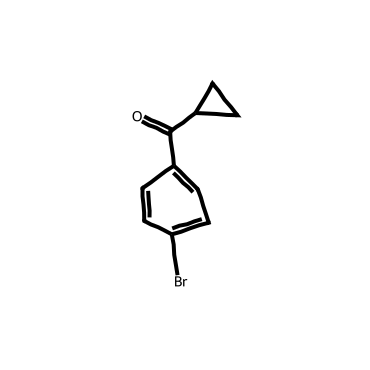 O=C(c1ccc(Br)cc1)C1CC1